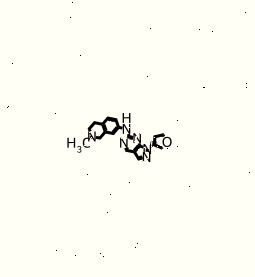 CN1CCc2ccc(Nc3ncc4cnn([C@@H]5CCOC5)c4n3)cc2C1